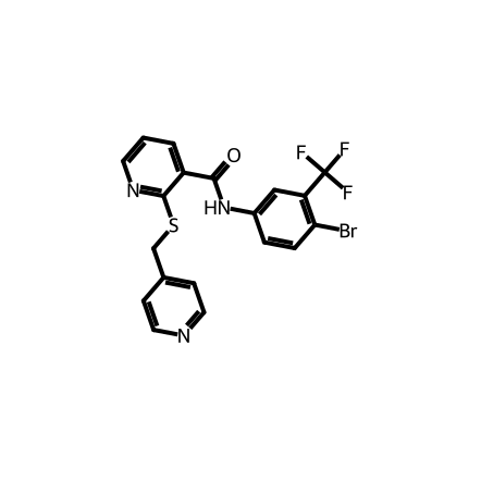 O=C(Nc1ccc(Br)c(C(F)(F)F)c1)c1cccnc1SCc1ccncc1